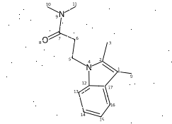 Cc1c(C)n(CCC(=O)N(C)C)c2ccccc12